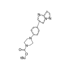 CC(C)(C)OC(=O)N1CCN(c2ccc(-c3cnc4ccnn4c3)cc2)CC1